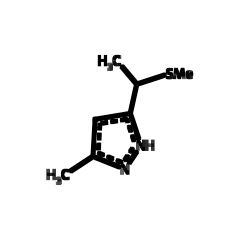 CSC(C)c1cc(C)n[nH]1